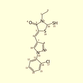 CCN1C(=O)/C(=C/c2cnn(-c3ccccc3Cl)c2)SC1S